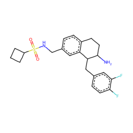 NC1CCc2ccc(CNS(=O)(=O)C3CCC3)cc2C1Cc1ccc(F)c(F)c1